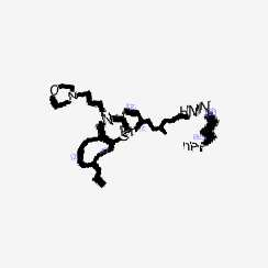 C=CCC1/C=C/C2=C(C/C=C\C1)CN(CCCN1CCCOCC1)[C@H](/C=C\C(=C/CC)CCC(C)CCCCN/N=C\C=C\CCC)CS2